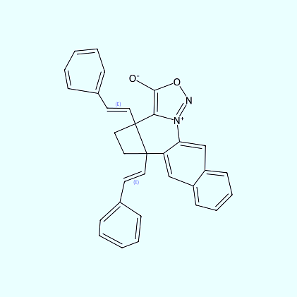 [O-]c1on[n+]2c1C1(/C=C/c3ccccc3)CCC1(/C=C/c1ccccc1)c1cc3ccccc3cc1-2